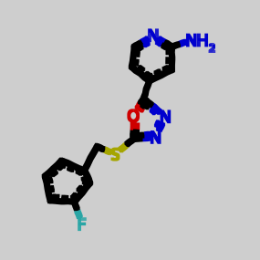 Nc1cc(-c2nnc(SCc3cccc(F)c3)o2)ccn1